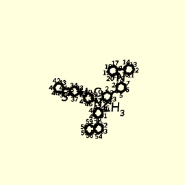 Cc1cc(-c2cccc(-n3c4ccccc4c4ccccc43)c2)cc(C)c1N(c1ccc(-c2ccc3c(c2)sc2ccccc23)cc1)c1ccc(-c2cccc3ccccc23)cc1